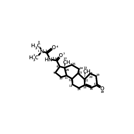 CN(C)C(=O)NC(=O)C1CCC2C3CCC4=CC(=O)CC[C@]4(C)C3CC[C@]12C